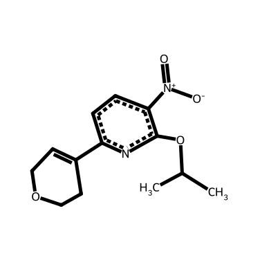 CC(C)Oc1nc(C2=CCOCC2)ccc1[N+](=O)[O-]